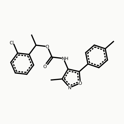 Cc1ccc(-c2onc(C)c2NC(=O)OC(C)c2ccccc2Cl)cc1